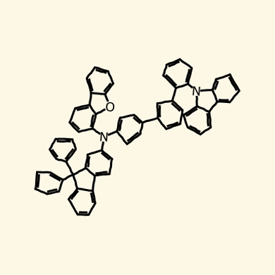 c1ccc(C2(c3ccccc3)c3ccccc3-c3ccc(N(c4ccc(-c5cccc(-c6ccccc6-n6c7ccccc7c7ccccc76)c5)cc4)c4cccc5c4oc4ccccc45)cc32)cc1